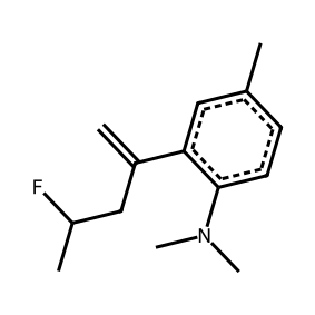 C=C(CC(C)F)c1cc(C)ccc1N(C)C